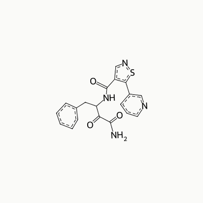 NC(=O)C(=O)C(Cc1ccccc1)NC(=O)c1cnsc1-c1cccnc1